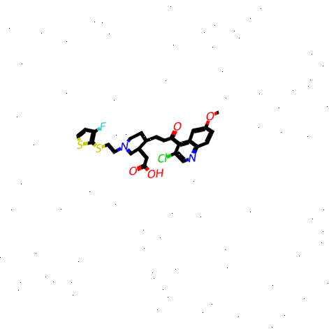 COc1ccc2ncc(Cl)c(C(=O)CCC3CCN(CCSc4sccc4F)CC3CC(=O)O)c2c1